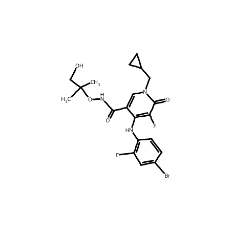 CC(C)(CO)ONC(=O)c1cn(CC2CC2)c(=O)c(F)c1Nc1ccc(Br)cc1F